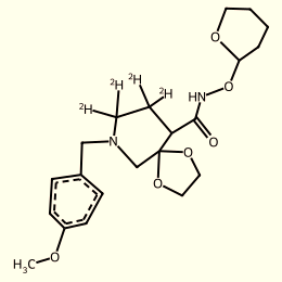 [2H]C1([2H])C(C(=O)NOC2CCCCO2)C2(CN(Cc3ccc(OC)cc3)C1([2H])[2H])OCCO2